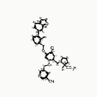 Cc1c(COc2cc(OCc3cncc(C#N)c3)c(CN3CCCC3(C)C(=O)O)cc2Cl)cccc1-c1ccc2ccoc2c1